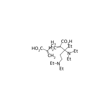 C=C(C(=O)O)C(CC)(CCN(CC)CC)N(CC)CC.C=C(C)C(=O)O